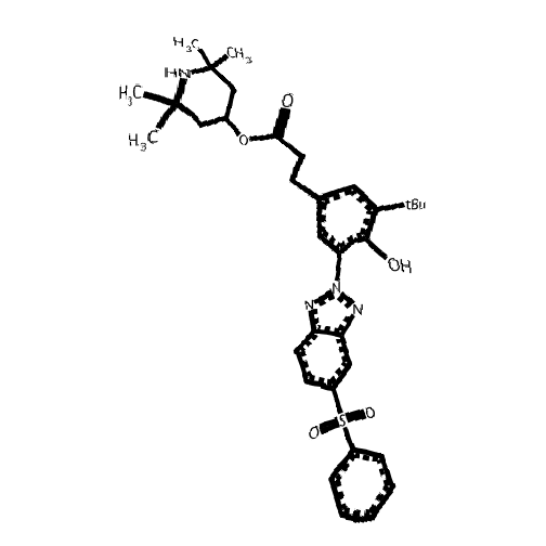 CC1(C)CC(OC(=O)CCc2cc(-n3nc4ccc(S(=O)(=O)c5ccccc5)cc4n3)c(O)c(C(C)(C)C)c2)CC(C)(C)N1